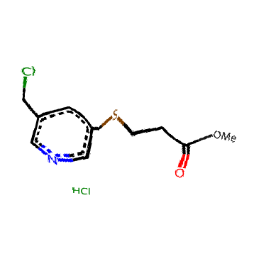 COC(=O)CCSc1cncc(CCl)c1.Cl